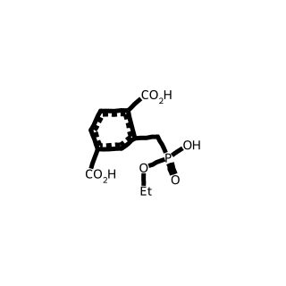 CCOP(=O)(O)Cc1cc(C(=O)O)ccc1C(=O)O